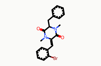 CN1C(=O)C(Cc2ccccc2)N(C)C(=O)C1=Cc1ccccc1Br